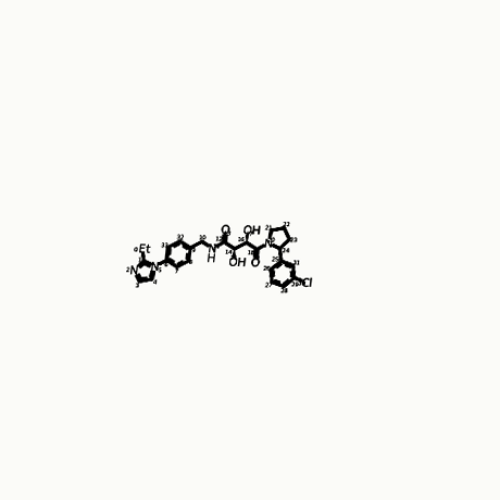 CCc1nccn1-c1ccc(CNC(=O)[C@H](O)[C@@H](O)C(=O)N2CCCC2c2cccc(Cl)c2)cc1